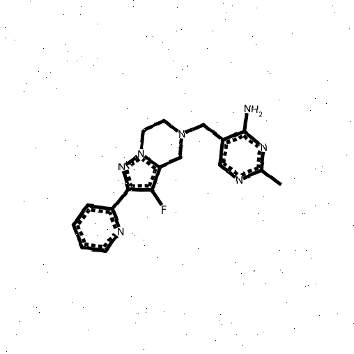 Cc1ncc(CN2CCn3nc(-c4ccccn4)c(F)c3C2)c(N)n1